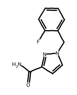 NC(=O)c1[c]cn(Cc2ccccc2F)n1